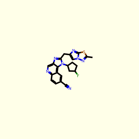 Cc1nn2cc(Cc3nc4cnc5ccc(C#N)cc5c4n3C3CCC(F)C3)nc2s1